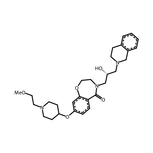 COCCN1CCC(Oc2ccc3c(c2)OCCN(C[C@H](O)CN2CCc4ccccc4C2)C3=O)CC1